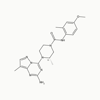 COc1ccc(NC(=O)N2CCN(c3nc(N)nc4c(C)cnn34)[C@@H](C)C2)c(C)c1